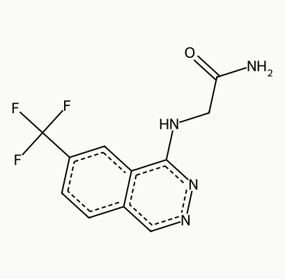 NC(=O)CNc1nncc2ccc(C(F)(F)F)cc12